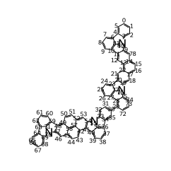 c1ccc2c(c1)c1cccc3c4cc5c(ccc6cc7c(cc65)c5cccc6c8c(-c9ccc%10c(c9)c9cccc%11c%12c%13ccc%14cc%15c(c%16ccc(cc%12n%10c9%11)c%13c%14%16)c9cccc%10c%11ccccc%11n%15c%109)cccc8n7c56)cc4n2c13